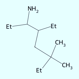 CCC(N)C(CC)CC(C)(C)CC